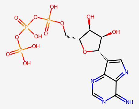 N=C1N=CN=C2C([C@@H]3O[C@H](COP(=O)(O)OP(=O)(O)OP(=O)(O)O)[C@@H](O)[C@H]3O)=CN=C12